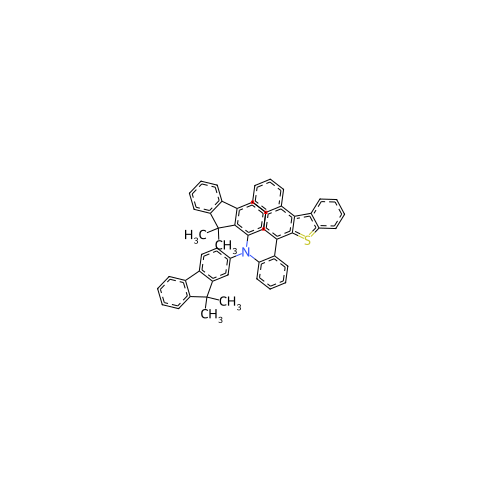 CC1(C)c2ccccc2-c2ccc(N(c3ccccc3-c3cc4ccccc4c4c3sc3ccccc34)c3cccc4c3C(C)(C)c3ccccc3-4)cc21